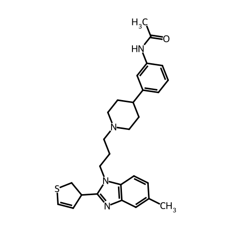 CC(=O)Nc1cccc(C2CCN(CCCn3c(C4C=CSC4)nc4cc(C)ccc43)CC2)c1